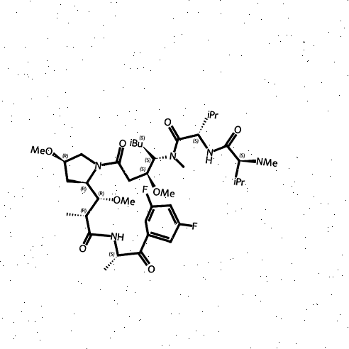 CC[C@H](C)[C@@H]([C@H](CC(=O)N1C[C@H](OC)C[C@@H]1[C@H](OC)[C@@H](C)C(=O)N[C@@H](C)C(=O)c1cc(F)cc(F)c1)OC)N(C)C(=O)[C@@H](NC(=O)[C@@H](NC)C(C)C)C(C)C